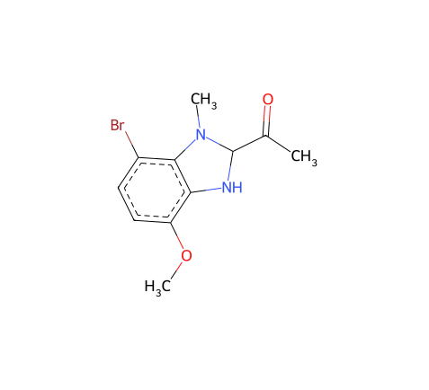 COc1ccc(Br)c2c1NC(C(C)=O)N2C